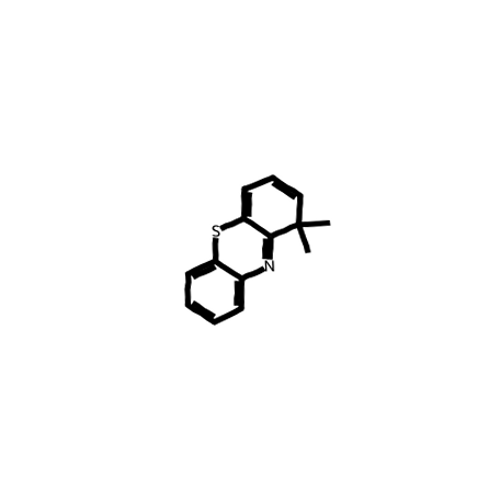 CC1(C)C=CC=C2Sc3ccccc3N=C21